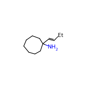 CCC=CC1(N)CCCCCCC1